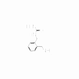 NCc1ccccc1CNC(N)=O